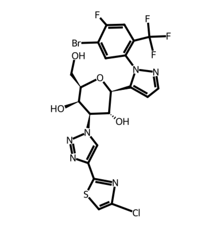 OC[C@H]1O[C@@H](c2ccnn2-c2cc(Br)c(F)cc2C(F)(F)F)[C@H](O)[C@@H](n2cc(-c3nc(Cl)cs3)nn2)[C@H]1O